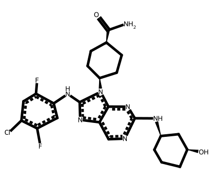 NC(=O)[C@H]1CC[C@@H](n2c(Nc3cc(F)c(Cl)cc3F)nc3cnc(N[C@@H]4CCC[C@H](O)C4)nc32)CC1